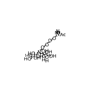 CC(=O)c1cnnn1CCOCCOCCOCCOCCN(C[C@H](O)[C@@H](O)[C@H](O)[C@H](O)CO)C[C@H](O)[C@@H](O)[C@H](O)[C@H](O)CO